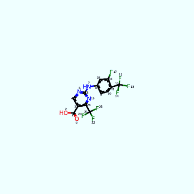 O=C(O)c1cnc(Nc2ccc(C(F)(F)F)c(F)c2)nc1C(F)(F)F